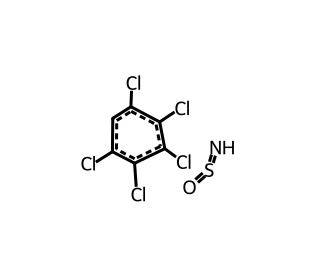 Clc1cc(Cl)c(Cl)c(Cl)c1Cl.N=S=O